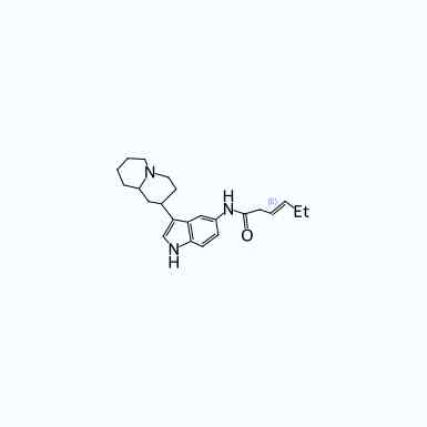 CC/C=C/CC(=O)Nc1ccc2[nH]cc(C3CCN4CCCCC4C3)c2c1